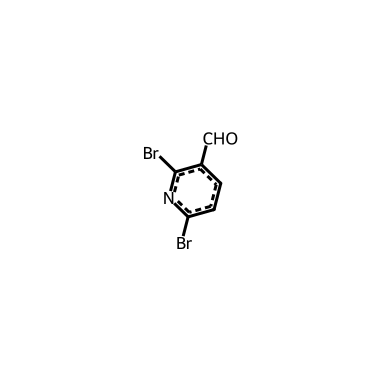 O=Cc1ccc(Br)nc1Br